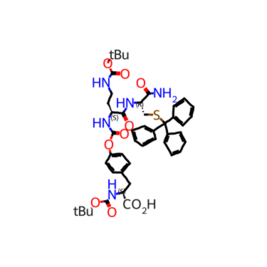 CC(C)(C)OC(=O)NCC[C@H](NC(=O)Oc1ccc(C[C@H](NC(=O)OC(C)(C)C)C(=O)O)cc1)C(=O)N[C@@H](CSC(c1ccccc1)(c1ccccc1)c1ccccc1)C(N)=O